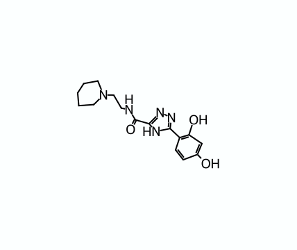 O=C(NCCN1CCCCC1)c1nnc(-c2ccc(O)cc2O)[nH]1